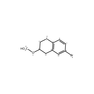 O=C(O)OC1CSc2ccc(Br)cc2C1